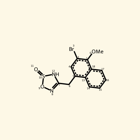 COc1c(Br)cc(CC2=NOS(=O)N2)c2ccccc12